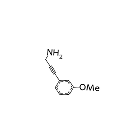 COc1cccc(C#CCN)c1